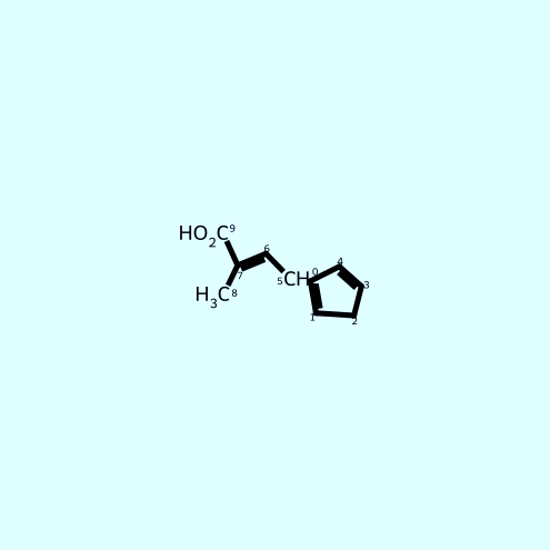 C1=CCC=C1.CC=C(C)C(=O)O